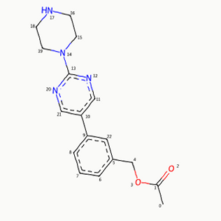 CC(=O)OCc1cccc(-c2cnc(N3CCNCC3)nc2)c1